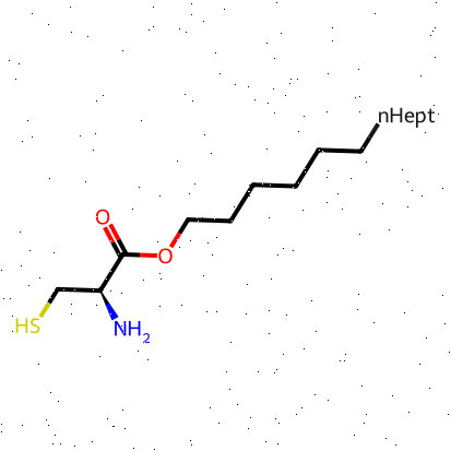 CCCCCCCCCCCCCOC(=O)[C@@H](N)CS